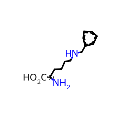 N[C@H](CCCCNCc1ccccc1)C(=O)O